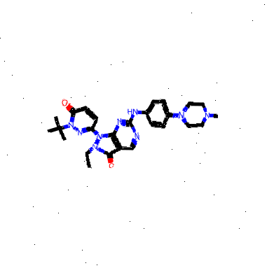 CCn1c(=O)c2cnc(Nc3ccc(N4CCN(C)CC4)cc3)nc2n1-c1ccc(=O)n(C(C)(C)C)n1